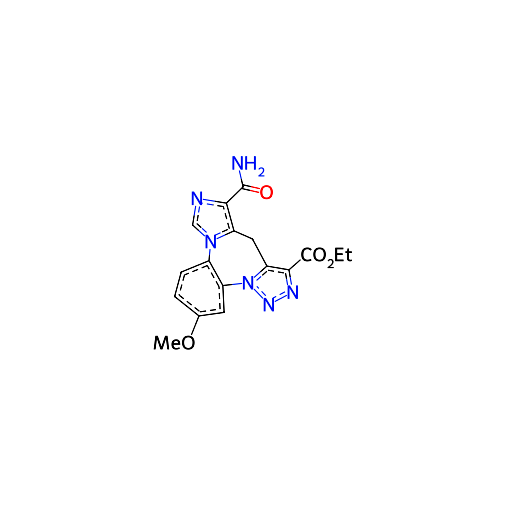 CCOC(=O)c1nnn2c1Cc1c(C(N)=O)ncn1-c1ccc(OC)cc1-2